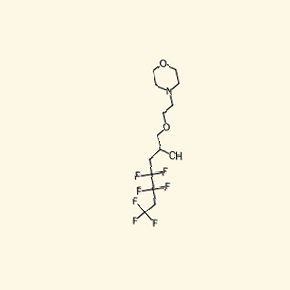 OC(COCCN1CCOCC1)CC(F)(F)C(F)(F)CC(F)(F)F